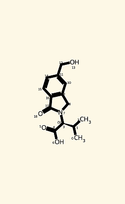 CC(C)[C@@H](C(=O)O)N1Cc2cc(CO)ccc2C1=O